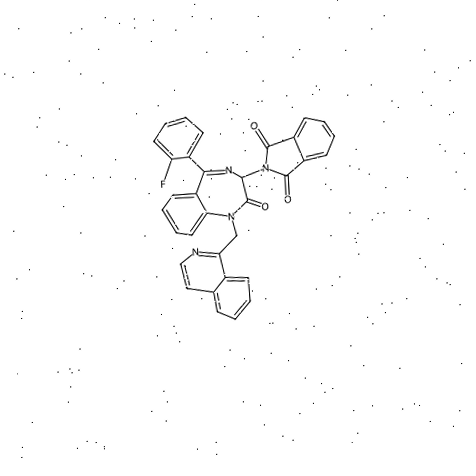 O=C1C(N2C(=O)c3ccccc3C2=O)N=C(c2ccccc2F)c2ccccc2N1Cc1nccc2ccccc12